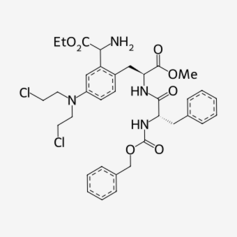 CCOC(=O)C(N)c1cc(N(CCCl)CCCl)ccc1C[C@H](NC(=O)[C@H](Cc1ccccc1)NC(=O)OCc1ccccc1)C(=O)OC